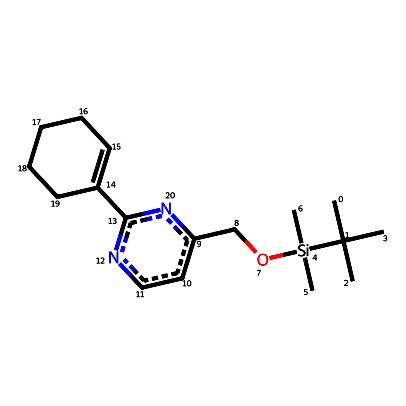 CC(C)(C)[Si](C)(C)OCc1ccnc(C2=CCCCC2)n1